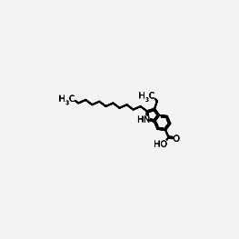 CCCCCCCCCCCc1[nH]c2cc(C(=O)O)ccc2c1CC